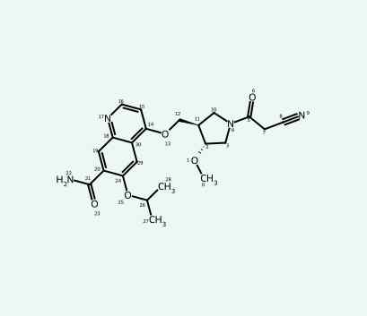 CO[C@H]1CN(C(=O)CC#N)C[C@@H]1COc1ccnc2cc(C(N)=O)c(OC(C)C)cc12